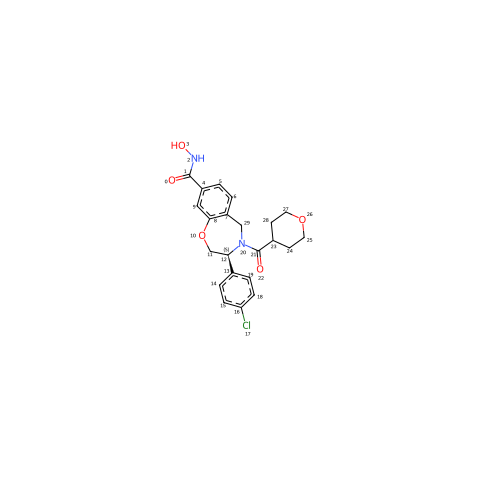 O=C(NO)c1ccc2c(c1)OC[C@H](c1ccc(Cl)cc1)N(C(=O)C1CCOCC1)C2